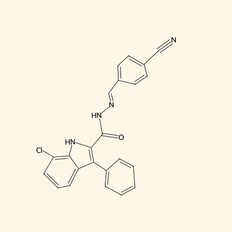 N#Cc1ccc(C=NNC(=O)c2[nH]c3c(Cl)cccc3c2-c2ccccc2)cc1